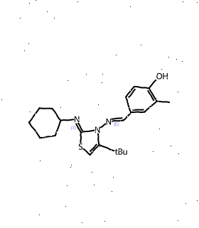 Cc1cc(/C=N/n2c(C(C)(C)C)cs/c2=N\C2CCCCC2)ccc1O